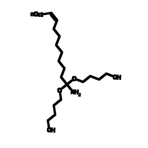 CCCCCCCC/C=C\CCCCCCCC(N)(OCCCCO)OCCCCO